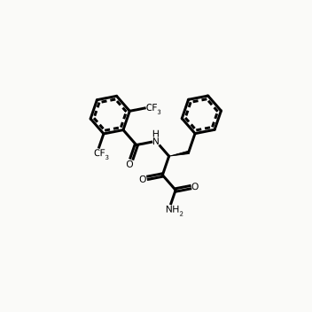 NC(=O)C(=O)[C@H](Cc1ccccc1)NC(=O)c1c(C(F)(F)F)cccc1C(F)(F)F